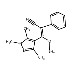 BOC(=C(C#N)c1ccccc1)c1c(C)nn(C)c1C